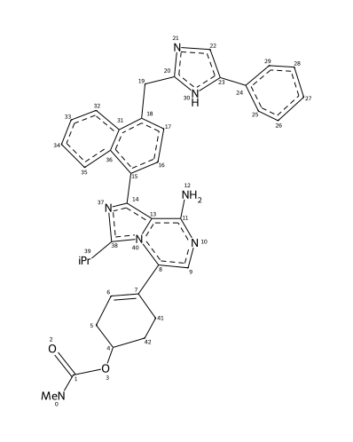 CNC(=O)OC1CC=C(c2cnc(N)c3c(-c4ccc(Cc5ncc(-c6ccccc6)[nH]5)c5ccccc45)nc(C(C)C)n23)CC1